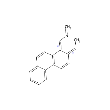 C=N/C=c1\c(=C/C)ccc2c1ccc1ccccc12